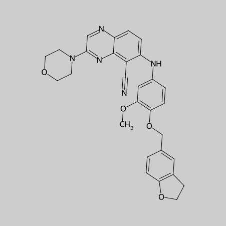 COc1cc(Nc2ccc3ncc(N4CCOCC4)nc3c2C#N)ccc1OCc1ccc2c(c1)CCO2